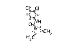 C=CCN(CC=C)C(=O)Nc1ccc(Cl)c(Cl)c1